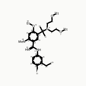 CCOCCN(CCOCC)C(C)(C)c1cc(C(=N)Nc2ccc(F)c(CI)c2)c(NC)cc1OCC